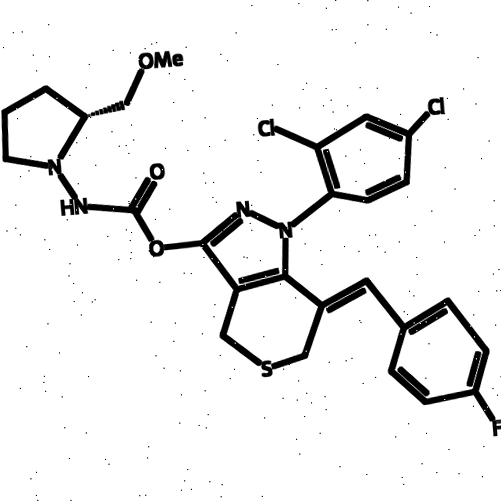 COC[C@H]1CCCN1NC(=O)Oc1nn(-c2ccc(Cl)cc2Cl)c2c1CSC/C2=C\c1ccc(F)cc1